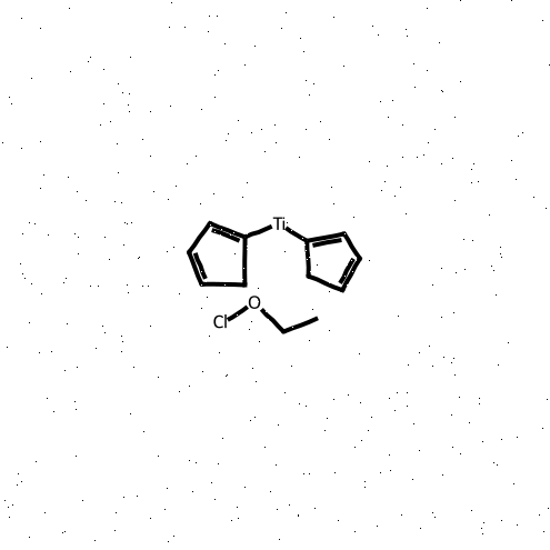 C1=CC[C]([Ti][C]2=CC=CC2)=C1.CCOCl